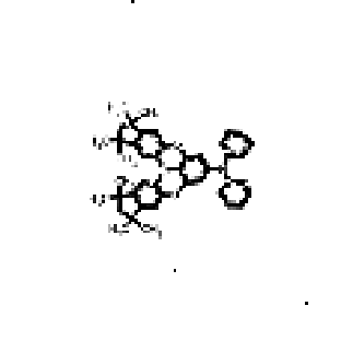 CC1(C)CC(C)(C)c2cc3c(cc21)Oc1cc(N(c2ccccc2)c2ccccc2)cc2c1B3c1cc3c(cc1O2)C(C)(C)CC3(C)C